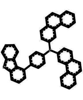 c1ccc2c(c1)ccc1ccc(N(c3ccc(-c4cccc5sc6ccccc6c45)cc3)c3ccc4ccc5ccccc5c4c3)cc12